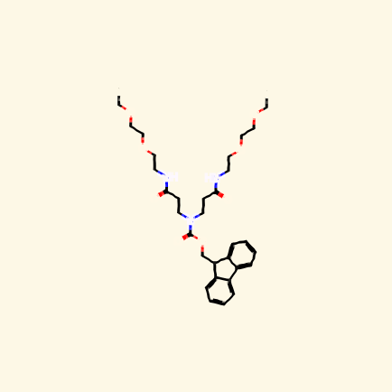 CC(=O)COCCOCCNC(=O)CCN(CCC(=O)NCCOCCOCC(C)=O)C(=O)OCC1c2ccccc2-c2ccccc21